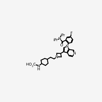 CC(C)N(C(=O)c1cc(F)ccc1-n1cc(C2CN(CCC3CCC(NC(=O)O)CC3)C2)c2ccncc21)C(C)C